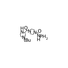 CC(C)(C)N1CCNC(C(=O)N2CCN(C(=O)NP)CC2)C1